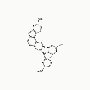 COc1ccc2c(c1)oc1ccc3cc4c(cc3c12)c1cc(C(C)C)cc2c3ccc(OC)cc3n4c21